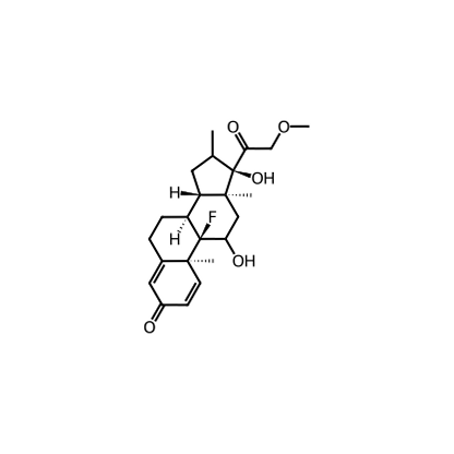 COCC(=O)[C@@]1(O)C(C)C[C@H]2[C@@H]3CCC4=CC(=O)C=C[C@]4(C)[C@@]3(F)C(O)C[C@@]21C